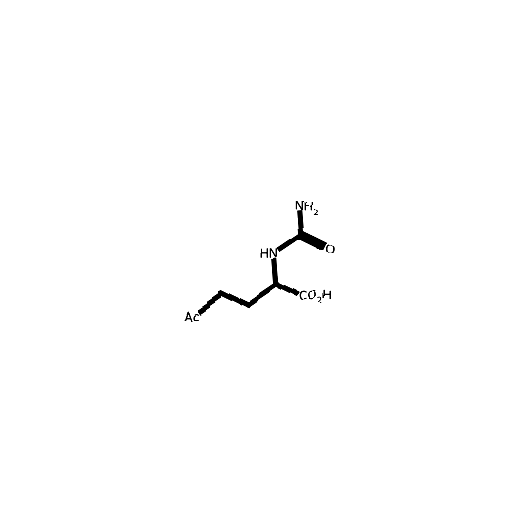 CC(=O)CCC(NC(N)=O)C(=O)O